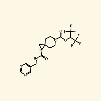 O=C(NCc1cncnc1)[C@H]1CC12CCN(C(=O)OC(C(F)(F)F)C(F)(F)F)CC2